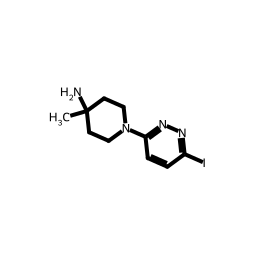 CC1(N)CCN(c2ccc(I)nn2)CC1